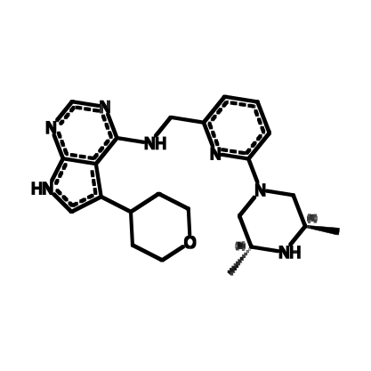 C[C@@H]1CN(c2cccc(CNc3ncnc4[nH]cc(C5CCOCC5)c34)n2)C[C@@H](C)N1